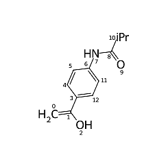 C=C(O)c1ccc(NC(=O)C(C)C)cc1